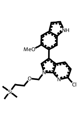 COc1cc2cc[nH]c2cc1-c1cn(COCC[Si](C)(C)C)c2nc(Cl)ccc12